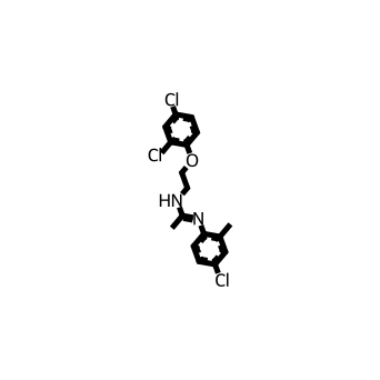 C/C(=N\c1ccc(Cl)cc1C)NCCOc1ccc(Cl)cc1Cl